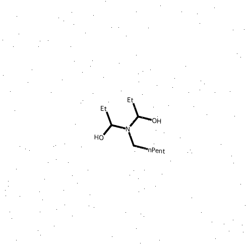 CCCCCCN(C(O)CC)C(O)CC